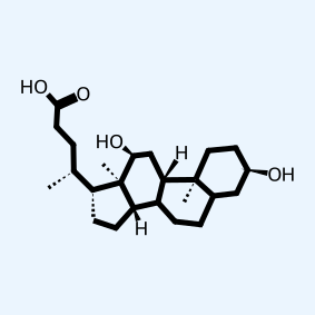 C[C@H](CCC(=O)O)[C@H]1CC[C@H]2C3CCC4C[C@H](O)CC[C@]4(C)[C@H]3C[C@H](O)[C@]12C